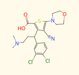 CN(C)CCC(c1ccc(Cl)c(Cl)c1)c1c(C(=O)O)sc(N2CCOCC2)c1C#N